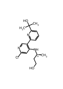 C[C@@H](CCO)Nc1cc(Cl)ncc1-c1cccc(C(C)(C)O)n1